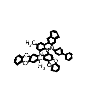 Cc1cc2c3c(c1)N(c1cc4c(cc1C)Oc1ccccc1O4)c1cc4c(cc1B3N(c1ccc(-c3ccccc3)cc1)c1cc3ccccc3cc1-2)Oc1ccccc1O4